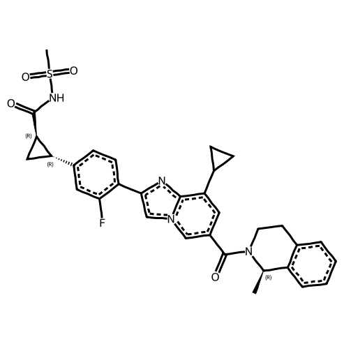 C[C@@H]1c2ccccc2CCN1C(=O)c1cc(C2CC2)c2nc(-c3ccc([C@@H]4C[C@H]4C(=O)NS(C)(=O)=O)cc3F)cn2c1